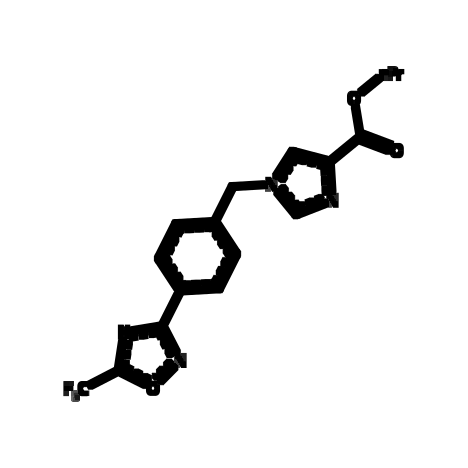 CCCOC(=O)c1cn(Cc2ccc(-c3noc(C(F)(F)F)n3)cc2)cn1